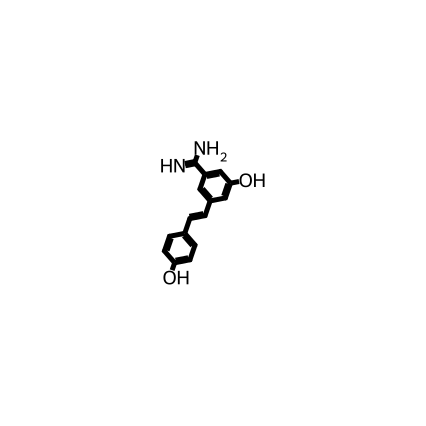 N=C(N)c1cc(O)cc(C=Cc2ccc(O)cc2)c1